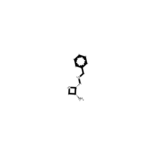 N[C@@H]1CO[C@@H]1COCc1ccccc1